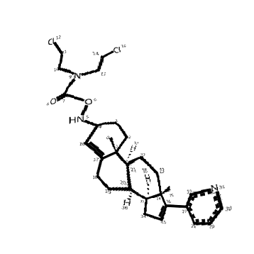 C[C@]12CCC(NOC(=O)N(CCCl)CCCl)C=C1CC[C@H]1[C@@H]2CC[C@]2(C)C(c3cccnc3)=CC[C@@H]12